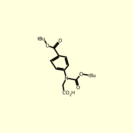 CC(C)(C)OC(=O)c1ccc(N(CC(=O)O)C(=O)OC(C)(C)C)cc1